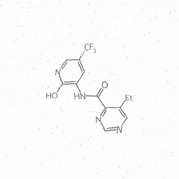 CCc1cncnc1C(=O)Nc1cc(C(F)(F)F)cnc1O